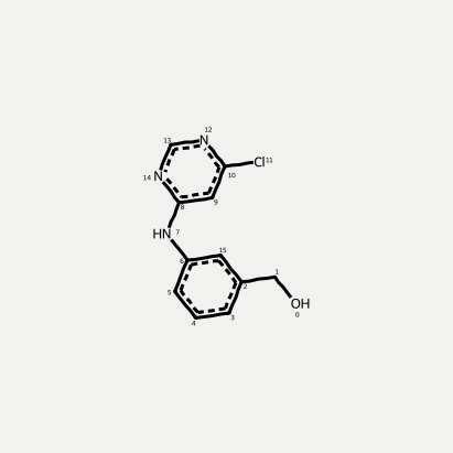 OCc1cccc(Nc2cc(Cl)ncn2)c1